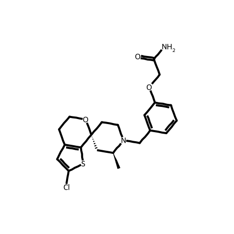 C[C@H]1C[C@@]2(CCN1Cc1cccc(OCC(N)=O)c1)OCCc1cc(Cl)sc12